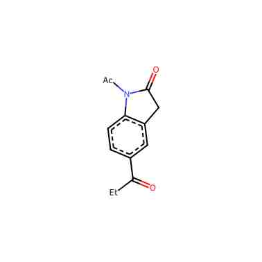 CCC(=O)c1ccc2c(c1)CC(=O)N2C(C)=O